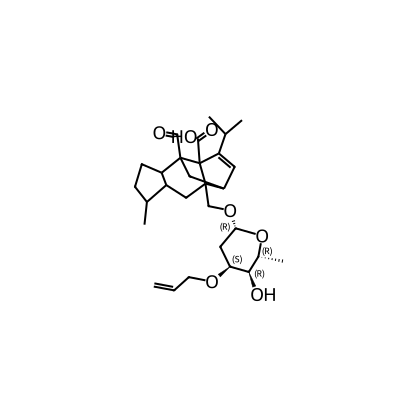 C=CCO[C@H]1C[C@H](OCC23CC4C(C)CCC4C4(C=O)CC2C=C(C(C)C)C43C(=O)O)O[C@H](C)[C@H]1O